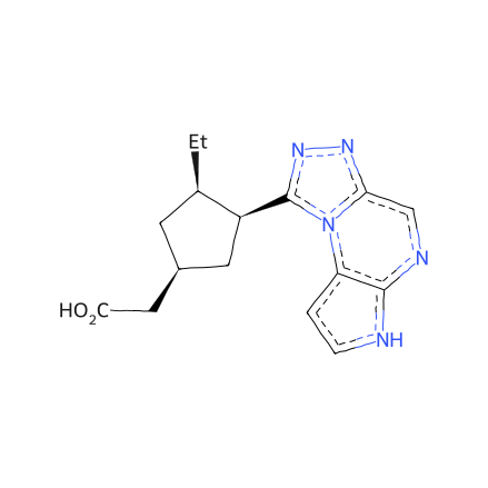 CC[C@@H]1C[C@H](CC(=O)O)C[C@@H]1c1nnc2cnc3[nH]ccc3n12